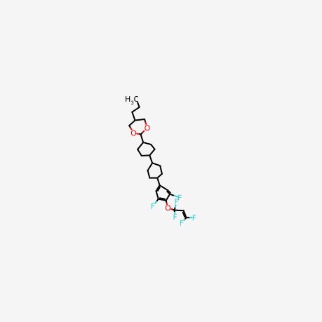 CCCC1COC(C2CCC(C3CCC(c4cc(F)c(OC(F)(F)C=C(F)F)c(F)c4)CC3)CC2)OC1